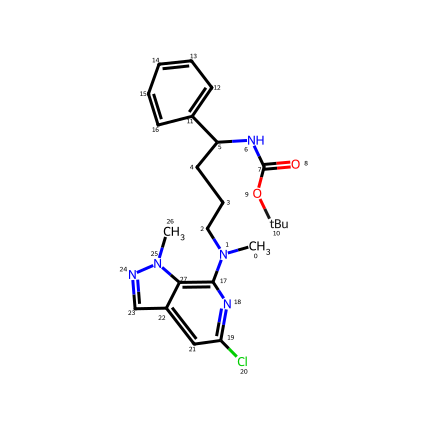 CN(CCCC(NC(=O)OC(C)(C)C)c1ccccc1)c1nc(Cl)cc2cnn(C)c12